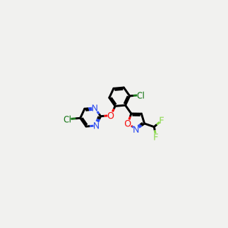 FC(F)c1cc(-c2c(Cl)cccc2Oc2ncc(Cl)cn2)on1